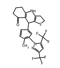 Cc1ccc(C2C3=C(CCS3)NC3=C2C(=O)CCC3)cc1-n1nc(C(F)(F)F)cc1C(F)(F)F